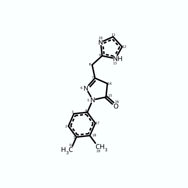 Cc1ccc(N2N=C(Cc3ncc[nH]3)CC2=O)cc1C